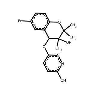 CC1(C)Oc2ccc(Br)cc2C(Oc2ccc(O)nn2)C1(C)O